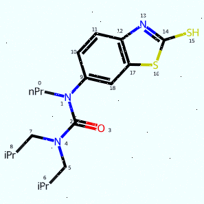 CCCN(C(=O)N(CC(C)C)CC(C)C)c1ccc2nc(S)sc2c1